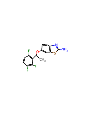 CC(Oc1ccc2nc(N)sc2c1)c1c(F)ccc(F)c1F